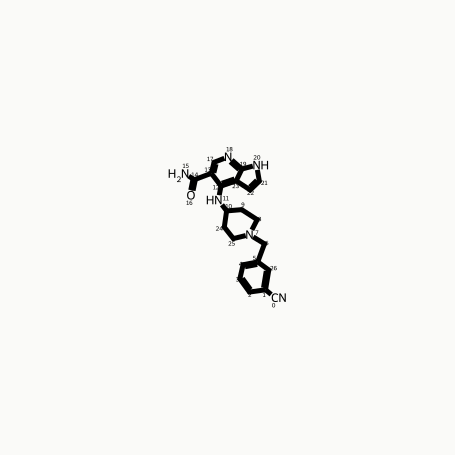 N#Cc1cccc(CN2CCC(Nc3c(C(N)=O)cnc4[nH]ccc34)CC2)c1